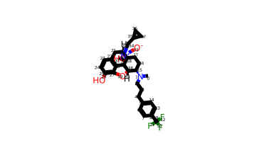 CN(CCCc1ccc(C(F)(F)F)cc1)[C@@H]1CC[C@@]2(O)[C@H]3Cc4ccc(O)c5c4[C@@]2(CC[N+]3([O-])CC2CC2)[C@H]1O5